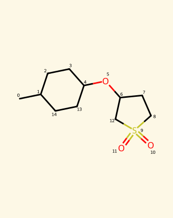 CC1CCC(OC2CCS(=O)(=O)C2)CC1